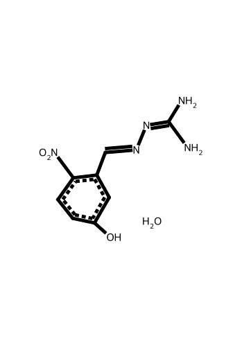 NC(N)=NN=Cc1cc(O)ccc1[N+](=O)[O-].O